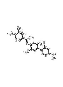 C/C(=C\c1cc(C)c(-c2ccc(NC(C)C)cc2F)cc1C)C(=O)N[C@H](C)C(N)=O